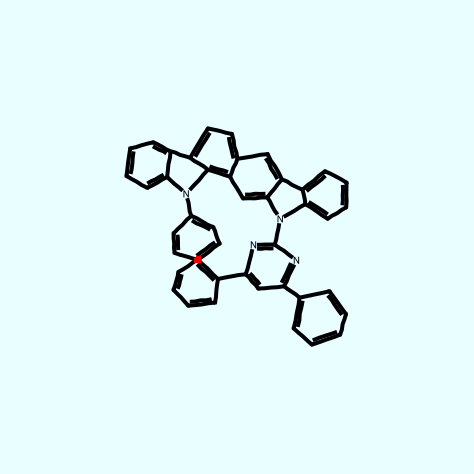 c1ccc(-c2cc(-c3ccccc3)nc(-n3c4ccccc4c4cc5ccc6c7ccccc7n(-c7ccccc7)c6c5cc43)n2)cc1